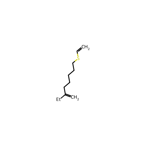 C=CSCCCCCC(=C)CC